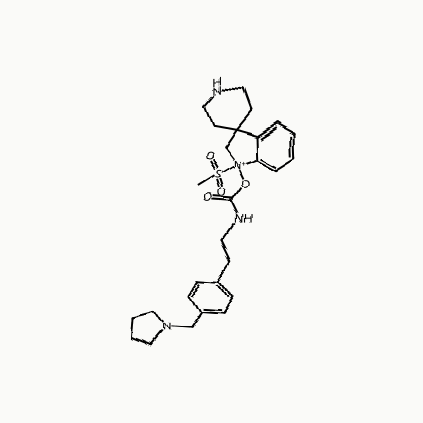 CS(=O)(=O)[N+]1(OC(=O)NCCc2ccc(CN3CCCC3)cc2)CC2(CCNCC2)c2ccccc21